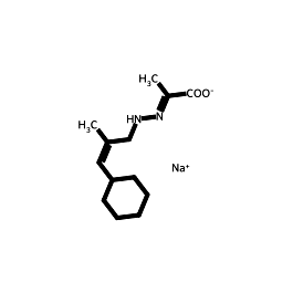 CC(=CC1CCCCC1)CNN=C(C)C(=O)[O-].[Na+]